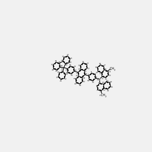 Cc1ccc(N(c2ccc(-c3c4ccccc4c(-c4ccc(C5(c6ccccc6)c6ccccc6-c6ccccc65)cc4)c4ccccc34)cc2)c2ccc(C)c3ccccc23)c2ccccc12